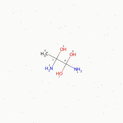 CC(N)(O)C(N)(O)O